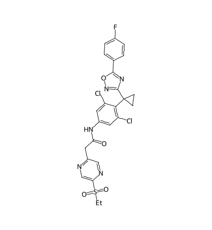 CCS(=O)(=O)c1cnc(CC(=O)Nc2cc(Cl)c(C3(c4noc(-c5ccc(F)cc5)n4)CC3)c(Cl)c2)cn1